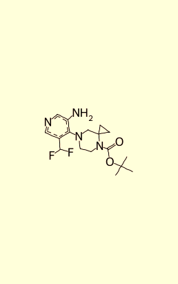 CC(C)(C)OC(=O)N1CCN(c2c(N)cncc2C(F)F)CC12CC2